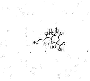 NC1(N)[C@@H](O)C[C@@](O)(C(=O)O)O[C@H]1[C@H](O)[C@H](O)CO